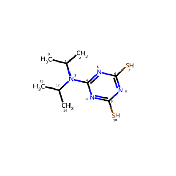 CC(C)N(c1nc(S)nc(S)n1)C(C)C